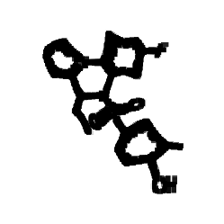 CCC1c2cccn2-c2ccc(F)cc2N1S(=O)(=O)c1ccc(O)c(C)c1